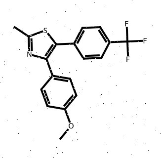 COc1ccc(-c2nc(C)sc2-c2ccc(C(F)(F)F)cc2)cc1